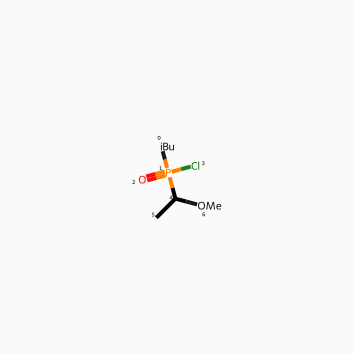 CCC(C)P(=O)(Cl)C(C)OC